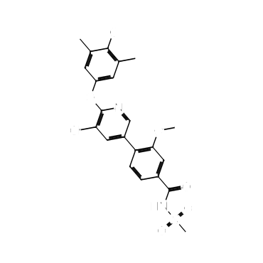 COc1cc(C(=O)NS(C)(=O)=O)ccc1-c1cnc(Oc2cc(C)c(Cl)c(C)c2)c(Cl)c1